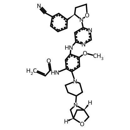 C=CC(=O)Nc1cc(Nc2cc(N3OCC[C@@H]3c3cccc(C#N)c3)ncn2)c(OC)cc1N1CCC(N2C[C@@H]3C[C@H]2CO3)CC1